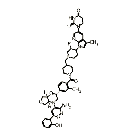 Cc1cc([C@@H]2CN(c3cc(-c4ccccc4O)nnc3N)[C@@H]3COC[C@@H]3O2)ccc1C(=O)N1CCC(CN2CC[C@H](n3cc(C)c4cc(N5CCC(=O)NC5=O)cnc43)[C@H](F)C2)CC1